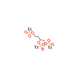 CCS(=O)(=O)OCCC(COS(=O)(=O)CC)OS(=O)(=O)CC